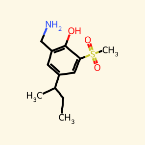 CCC(C)c1cc(CN)c(O)c(S(C)(=O)=O)c1